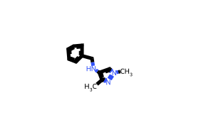 Cc1nn(C)cc1NCc1ccccc1